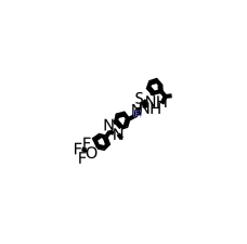 CC(C)c1ccccc1NC(=S)N/N=C/c1ccc2nc(-c3ccc(OC(F)(F)F)cc3)n(C)c2c1